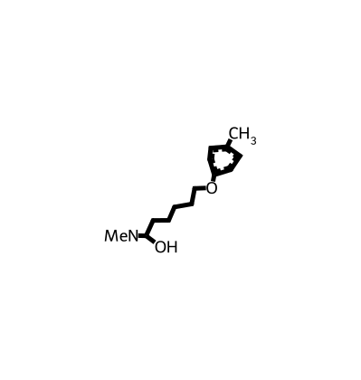 CNC(O)CCCCCOc1ccc(C)cc1